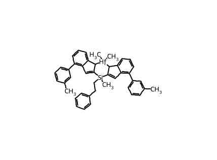 Cc1cccc(-c2cccc3c2C=C2[CH]3[Hf]([CH3])([CH3])[CH]3C(=Cc4c(-c5cccc(C)c5)cccc43)[Si]2(C)CCc2ccccc2)c1